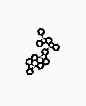 c1ccc(-n2c3ccccc3c3c2ccc2c4ccccc4n(-c4ccc5c(c4)c4ccccc4n5-c4ccccc4-c4ccccc4-n4c5ccccc5c5ccccc54)c23)cc1